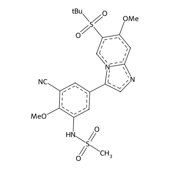 COc1cc2ncc(-c3cc(C#N)c(OC)c(NS(C)(=O)=O)c3)n2cc1S(=O)(=O)C(C)(C)C